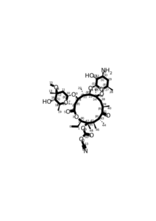 CC[C@H]1OC(=O)[C@H](C)[C@@H](O[C@H]2C[C@@](C)(OC)[C@@H](O)[C@H](C)O2)[C@H](C)[C@@H](O[C@@H]2O[C@H](C)C[C@H](N)[C@H]2O)[C@@](C)(OC)C[C@@H](C)C(=O)[C@H](C)[C@@H](C)[C@]1(C)OC(=O)OC#N